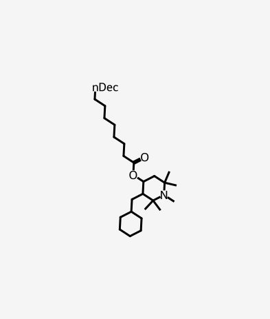 CCCCCCCCCCCCCCCCCC(=O)OC1CC(C)(C)N(C)C(C)(C)C1CC1CCCCC1